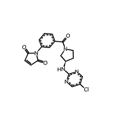 O=C(c1cccc(N2C(=O)C=CC2=O)c1)N1CC[C@@H](Nc2ncc(Cl)cn2)C1